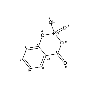 O=C1OP(=O)(O)Oc2ccccc21